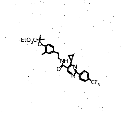 CCOC(=O)C(C)(C)Oc1ccc(CCNC(=O)c2cnc(-c3ccc(C(F)(F)F)cc3)nc2C2CC2)cc1C